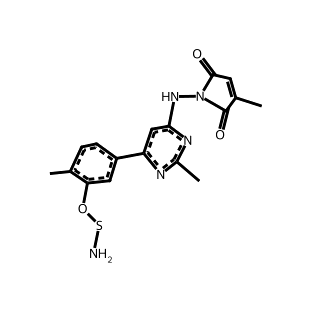 CC1=CC(=O)N(Nc2cc(-c3ccc(C)c(OSN)c3)nc(C)n2)C1=O